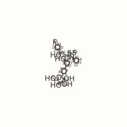 OCC1OC(c2ccc(-c3ccc(C4C(CCC(O)c5ccc(F)cc5)SC(=S)N4c4ccccc4)c(O)c3)cc2)C(O)C(O)C1O